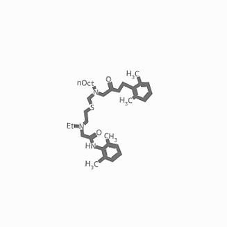 CCCCCCCCN(CSCCN(CC)CC(=O)Nc1c(C)cccc1C)CC(=O)CCc1c(C)cccc1C